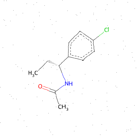 CC[C@@H](NC(C)=O)c1ccc(Cl)cc1